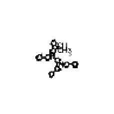 CC1(C)c2ccccc2-c2cc3c4cc(-c5ccccc5)ccc4n(-c4ccc5c(c4)c4cc(-c6ccccc6)ccc4n5-c4ccc(-c5ccccc5)cc4)c3cc21